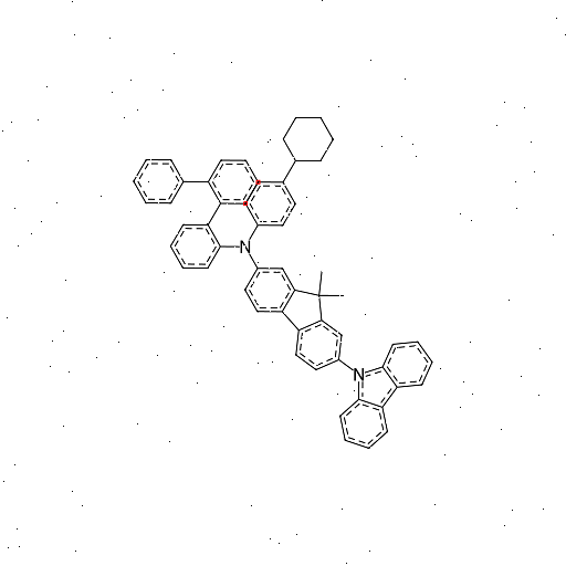 CC1(C)c2cc(N(c3ccc(C4CCCCC4)cc3)c3ccccc3-c3ccccc3-c3ccccc3)ccc2-c2ccc(-n3c4ccccc4c4ccccc43)cc21